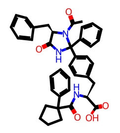 CC(=O)N1[C@H](Cc2ccccc2)C(=O)NC1(c1ccccc1)c1ccc(C[C@H](NC(=O)C2(c3ccccc3)CCCC2)C(=O)O)cc1